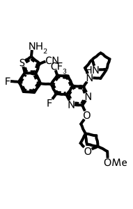 COCC12CC(COc3nc(N4CC5CCC(C4)N5)c4cc(C(F)(F)F)c(-c5ccc(F)c6sc(N)c(C#N)c56)c(F)c4n3)(CO1)C2